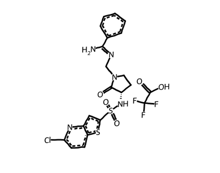 NC(=NCN1CC[C@H](NS(=O)(=O)c2cc3nc(Cl)ccc3s2)C1=O)c1ccccc1.O=C(O)C(F)(F)F